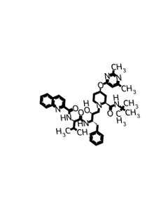 Cc1cc(O[C@@H]2CCN(C[C@@H](O)[C@H](Cc3ccccc3)NC(=O)[C@@H](NC(=O)c3ccc4ccccc4n3)C(C)C)[C@H](C(=O)NC(C)(C)C)C2)nc(C)n1